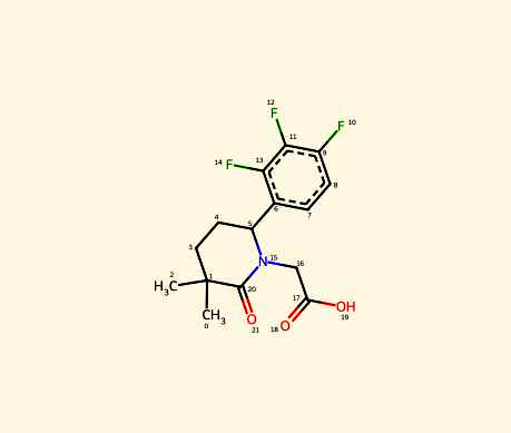 CC1(C)CCC(c2ccc(F)c(F)c2F)N(CC(=O)O)C1=O